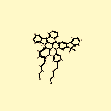 CCCCCc1ccc(N2B3c4cc(CCCCC)ccc4-n4c5ccccc5c5c6ccccc6c(c3c54)-c3cc4c(cc32)C(C)(C)c2ccccc2-4)cc1